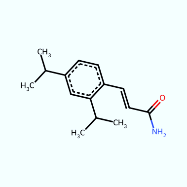 CC(C)c1ccc(C=CC(N)=O)c(C(C)C)c1